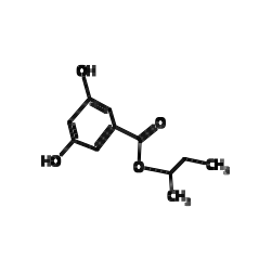 CCC(C)OC(=O)c1cc(O)cc(O)c1